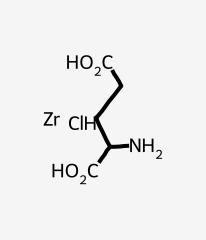 Cl.NC(CCC(=O)O)C(=O)O.[Zr]